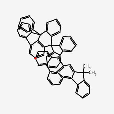 CC1(C)c2ccccc2-c2ccc(N(c3ccccc3-c3ccccc3)c3ccccc3C3(c4ccccc4)c4ccccc4C4(c5ccccc5)c5ccccc5-c5cccc3c54)cc21